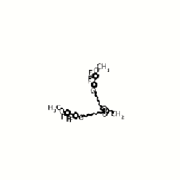 C=CC1COC(CCCCCCCCOc2ccc(-c3ccc(OCC)c(F)c3F)c(F)c2)(CCCCCCCCOc2ccc(-c3ccc(OCC)c(F)c3F)c(F)c2)OC1